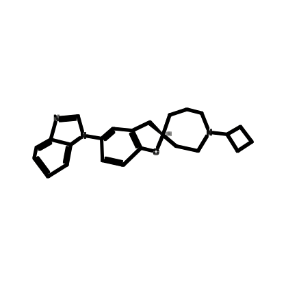 c1ccc2c(c1)ncn2-c1ccc2c(c1)C[C@]1(CCCN(C3CCC3)CC1)O2